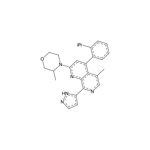 Cc1cnc(-c2ccn[nH]2)c2nc(N3CCOCC3C)cc(-c3ccccc3C(C)C)c12